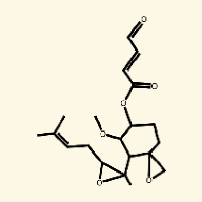 COC1C(OC(=O)C=CC=O)CCC2(CO2)C1C1(C)OC1CC=C(C)C